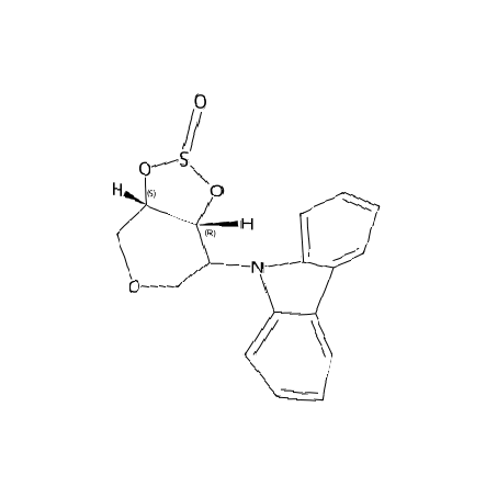 O=S1O[C@H]2COCC(n3c4ccccc4c4ccccc43)[C@H]2O1